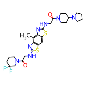 Cc1c2nc(NCC(=O)N3CCC(N4CCCC4)CC3)sc2cc2sc(NCC(=O)N3CCCC(F)(F)C3)nc12